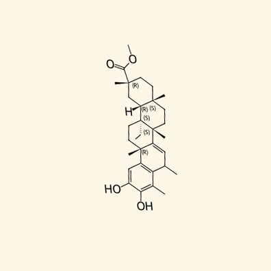 CC[C@@]12CC[C@]3(C)C(=CC(C)c4c3cc(O)c(O)c4C)[C@@]1(C)CC[C@@]1(C)CC[C@@](C)(C(=O)OC)C[C@H]12